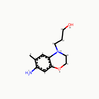 Cc1cc2c(cc1N)OCCN2CCCO